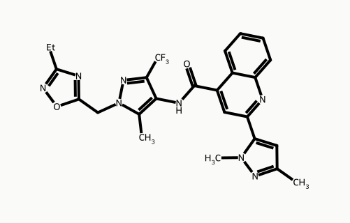 CCc1noc(Cn2nc(C(F)(F)F)c(NC(=O)c3cc(-c4cc(C)nn4C)nc4ccccc34)c2C)n1